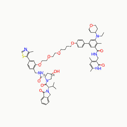 CCN(c1cc(-c2ccc(OCCCCOCCOCCOc3cc(-c4scnc4C)ccc3CNC(=O)[C@@H]3C[C@@H](O)CN3C(=O)C(C(C)C)N3Cc4ccccc4C3=O)cc2)cc(C(=O)NCc2c(C)cc(C)[nH]c2=O)c1C)C1CCOCC1